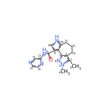 Cc1c2c(nn1C)-c1c(C(=O)Nc3cnccn3)c[nH]c1CCC2